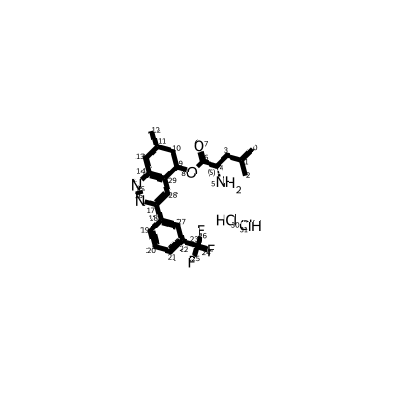 CC(C)C[C@H](N)C(=O)OC1CC(C)Cc2nnc(-c3cccc(C(F)(F)F)c3)cc21.Cl.Cl